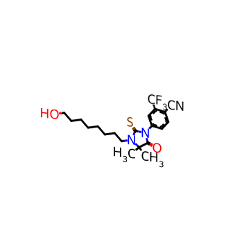 CC1(C)C(=O)N(c2ccc(C#N)c(C(F)(F)F)c2)C(=S)N1CCCCCCCCO